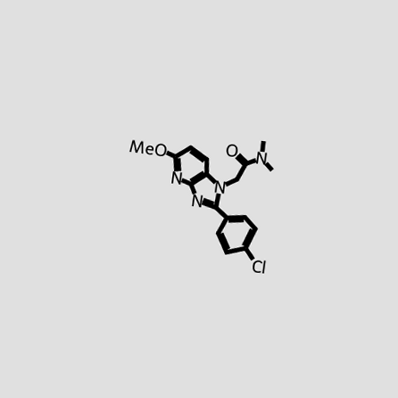 COc1ccc2c(n1)nc(-c1ccc(Cl)cc1)n2CC(=O)N(C)C